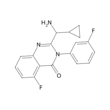 NC(c1nc2cccc(F)c2c(=O)n1-c1cccc(F)c1)C1CC1